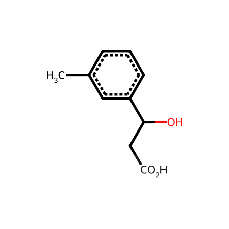 Cc1cccc(C(O)CC(=O)O)c1